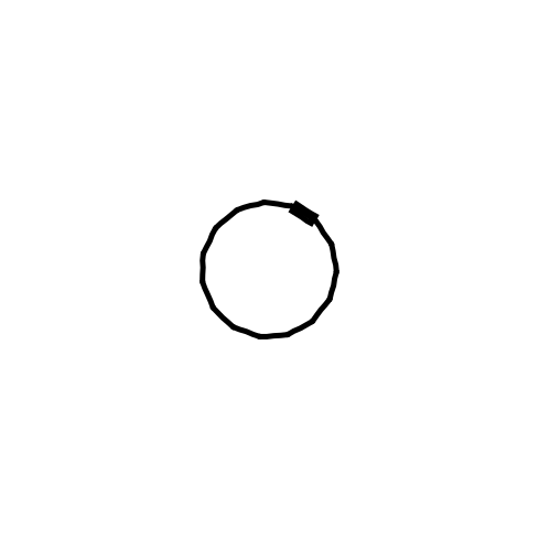 C1#CCCCCCCCCCCCCC1